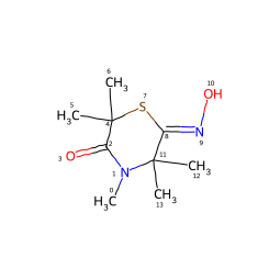 CN1C(=O)C(C)(C)SC(=NO)C1(C)C